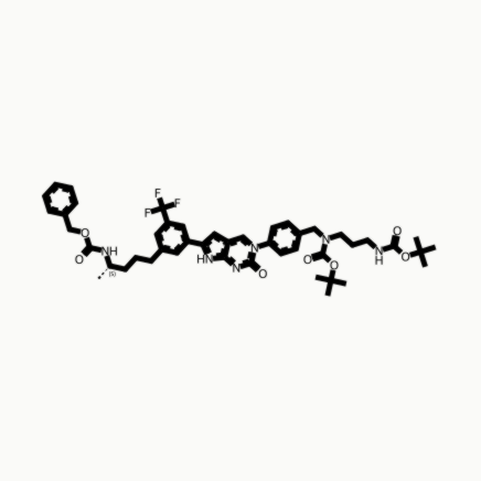 C[C@@H](CCCc1cc(-c2cc3cn(-c4ccc(CN(CCCNC(=O)OC(C)(C)C)C(=O)OC(C)(C)C)cc4)c(=O)nc3[nH]2)cc(C(F)(F)F)c1)NC(=O)OCc1ccccc1